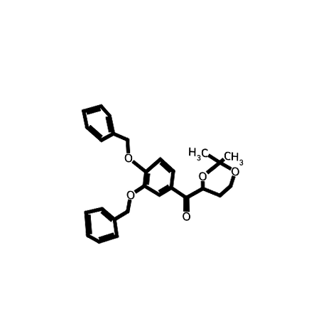 CC1(C)OCCC(C(=O)c2ccc(OCc3ccccc3)c(OCc3ccccc3)c2)O1